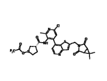 Cc1nc(Cl)cc(-c2ccnc3cc(CN4C(=O)C5C(C4=O)C5(C)C)sc23)c1NC(=O)[C@@H]1CCN(OC(=O)C(F)(F)F)C1